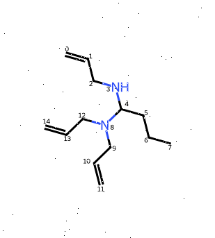 C=CCNC(CCC)N(CC=C)CC=C